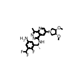 CO[C@H]1CN(c2cnc3c(C)nnc(N[C@H](C)c4cc(N)cc(C(F)F)c4F)c3c2)C[C@H]1OC